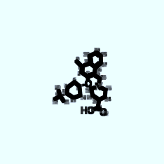 Cc1cc(O[C@H]2CC[C@@H](C(C)(C)C)CC2)c(CN2CCC(C(=O)O)CC2)c2ccccc12